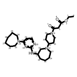 CCOC(=O)CC(=O)N1CCC(N2CCCCC(Nc3nccc(N4CCCCCC4)n3)C2)CC1